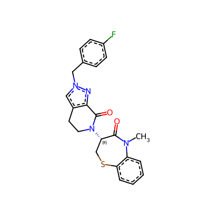 CN1C(=O)[C@@H](N2CCc3cn(Cc4ccc(F)cc4)nc3C2=O)CSc2ccccc21